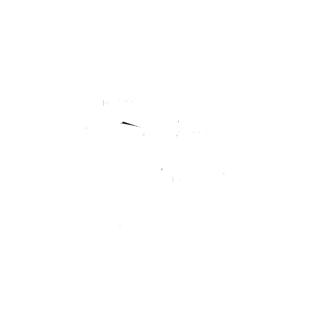 C=CC(=C)[C@@H]1C[C@@H](OC(=O)CCl)[C@]2(C)C(C)CC[C@]3(C[C@H](O)C(=O)C32O)[C@H]1C